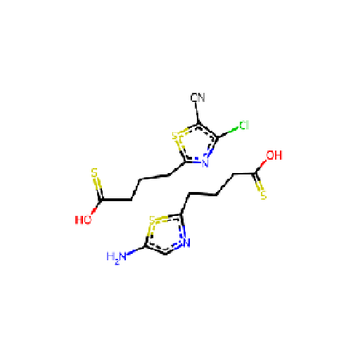 N#Cc1sc(CCCC(O)=S)nc1Cl.Nc1cnc(CCCC(O)=S)s1